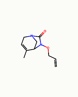 C=CCON1C(=O)N2CC=C(C)C1C2